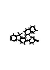 CC1(C)c2ccccc2-c2ccc(-c3ccc(Br)cn3)c(-c3ccc4ccccc4c3)c21